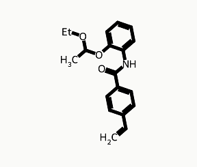 C=Cc1ccc(C(=O)Nc2ccccc2OC(C)OCC)cc1